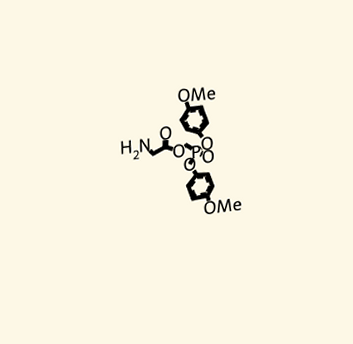 COc1ccc(OP(=O)(COC(=O)CN)Oc2ccc(OC)cc2)cc1